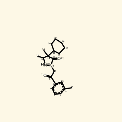 Cc1cccc(C(=O)CN2NC(C)C(C)(C3CCCCC3)C2=O)c1